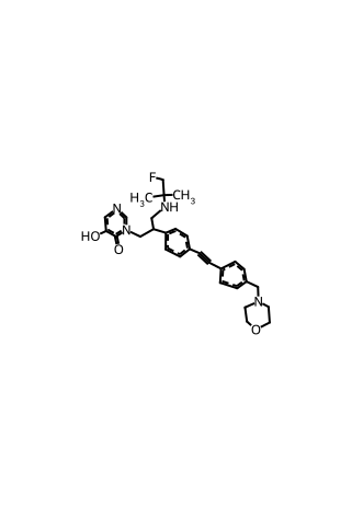 CC(C)(CF)NCC(Cn1cncc(O)c1=O)c1ccc(C#Cc2ccc(CN3CCOCC3)cc2)cc1